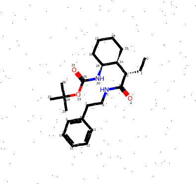 CC[C@H](C(=O)NCCc1ccccc1)[C@@H]1CCCC[C@@H]1NC(=O)OC(C)(C)C